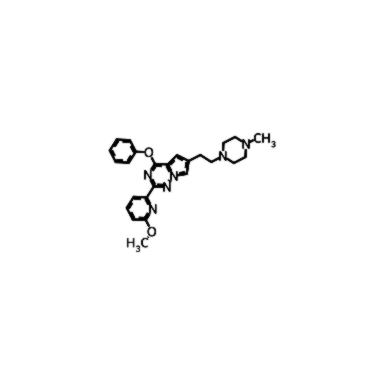 COc1cccc(-c2nc(Oc3ccccc3)c3cc(CCN4CCN(C)CC4)cn3n2)n1